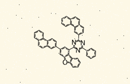 c1ccc(-c2nc(-c3ccc4ccc5ccccc5c4c3)nc(-c3cc(-c4ccc5c(ccc6ccccc65)c4)cc4oc5ccccc5c34)n2)cc1